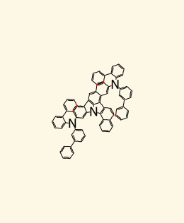 c1ccc(-c2cccc(N(c3ccc4cc5c6ccc(N(c7cccc(-c8ccccc8)c7)c7ccccc7-c7ccccc7)cc6n6c7c8ccccc8ccc7c(c4c3)c56)c3ccccc3-c3ccccc3)c2)cc1